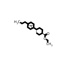 CCCC12CCC([C@H]3CC[C@H](C(=O)OCC)CC3)(CC1)CC2